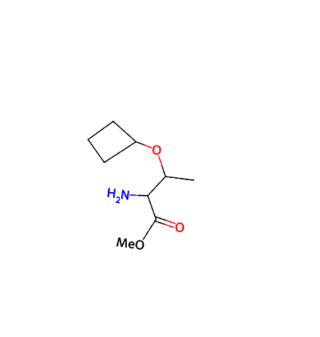 COC(=O)C(N)C(C)OC1CCC1